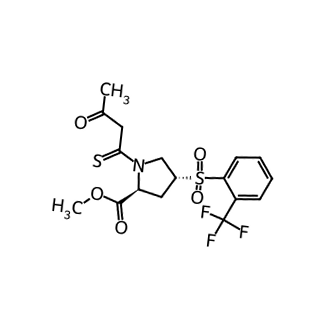 COC(=O)[C@@H]1C[C@@H](S(=O)(=O)c2ccccc2C(F)(F)F)CN1C(=S)CC(C)=O